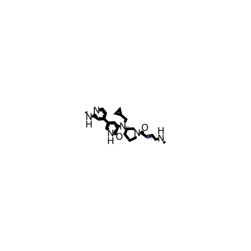 CNC/C=C/C(=O)N1CCC[C@H](N(CC2CC2)c2cc(-c3ccnc(NC)c3)c[nH]c2=O)C1